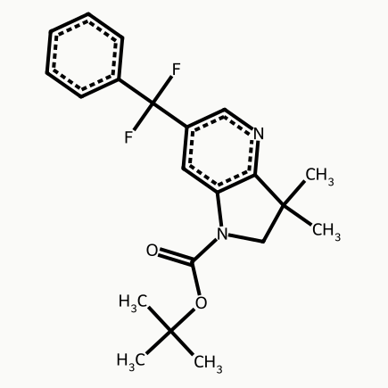 CC(C)(C)OC(=O)N1CC(C)(C)c2ncc(C(F)(F)c3ccccc3)cc21